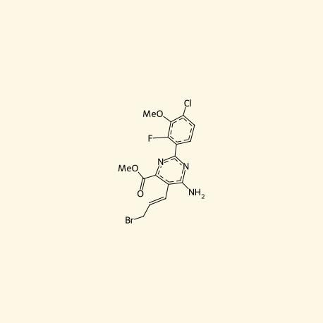 COC(=O)c1nc(-c2ccc(Cl)c(OC)c2F)nc(N)c1/C=C/CBr